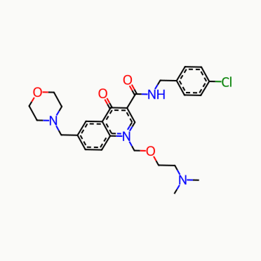 CN(C)CCOCn1cc(C(=O)NCc2ccc(Cl)cc2)c(=O)c2cc(CN3CCOCC3)ccc21